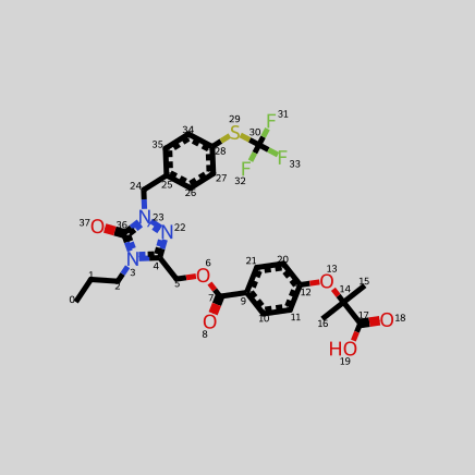 CCCn1c(COC(=O)c2ccc(OC(C)(C)C(=O)O)cc2)nn(Cc2ccc(SC(F)(F)F)cc2)c1=O